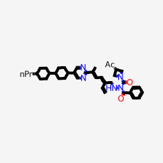 C=C/C(=C\C=C(/C)c1ncc(C2CCC(C3CCC(CCC)CC3)CC2)cn1)CNN(C(=O)c1ccccc1)C(=O)N1CC(C(C)=O)C1